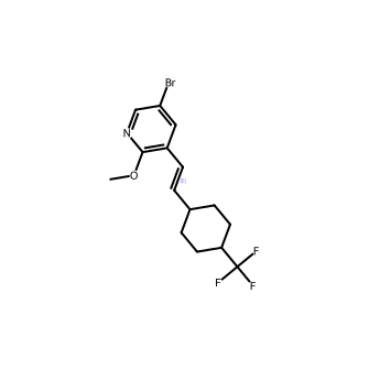 COc1ncc(Br)cc1/C=C/C1CCC(C(F)(F)F)CC1